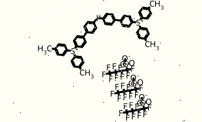 Cc1ccc([S+](c2ccc(C)cc2)c2ccc(-c3ccc([I+]c4ccc(-c5ccc([S+](c6ccc(C)cc6)c6ccc(C)cc6)cc5)cc4)cc3)cc2)cc1.O=S(=O)([O-])C(F)(F)C(F)(F)C(F)(F)C(F)(F)F.O=S(=O)([O-])C(F)(F)C(F)(F)C(F)(F)C(F)(F)F.O=S(=O)([O-])C(F)(F)C(F)(F)C(F)(F)C(F)(F)F